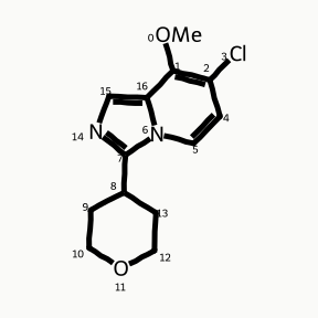 COc1c(Cl)ccn2c(C3CCOCC3)ncc12